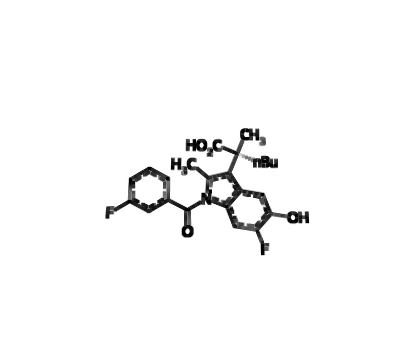 CCCC[C@@](C)(C(=O)O)c1c(C)n(C(=O)c2cccc(F)c2)c2cc(F)c(O)cc12